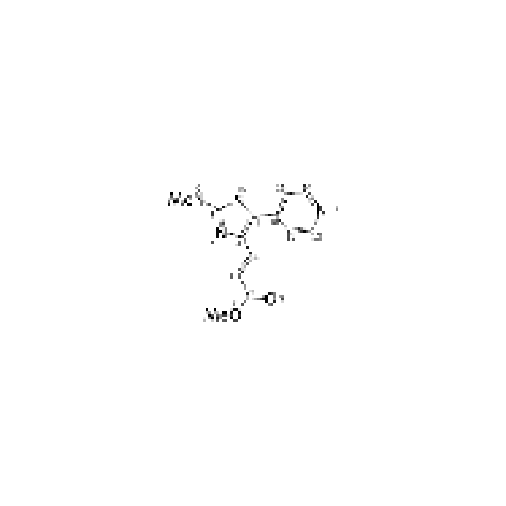 CNc1nc(C=CC(=O)OC)c(-c2ccncc2)s1